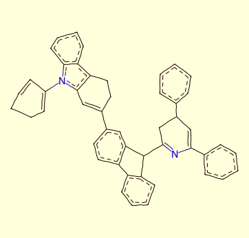 C1=CC(n2c3c(c4ccccc42)CCC(c2ccc4c(c2)C(C2=NC(c5ccccc5)=CC(c5ccccc5)C2)c2ccccc2-4)=C3)=CCC1